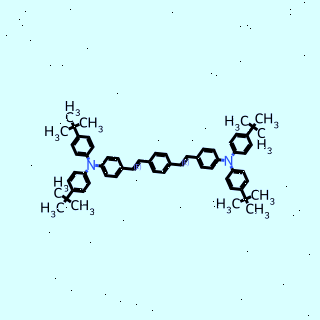 CC(C)(C)c1ccc(N(c2ccc(/C=C/c3ccc(/C=C/c4ccc(N(c5ccc(C(C)(C)C)cc5)c5ccc(C(C)(C)C)cc5)cc4)cc3)cc2)c2ccc(C(C)(C)C)cc2)cc1